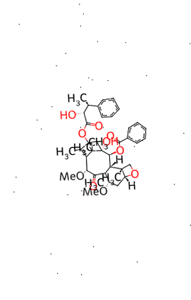 CO[C@H]1C(=O)[C@]2(C)[C@@H](OC)C[C@H]3OC[C@@]3(C)[C@H]2[C@H](OC(=O)c2ccccc2)[C@]2(O)CC(OC(=O)[C@H](O)[C@@H](C)c3ccccc3)C(C)=C1C2(C)C